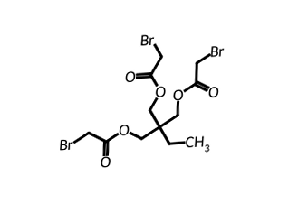 CCC(COC(=O)CBr)(COC(=O)CBr)COC(=O)CBr